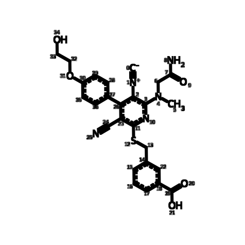 [C-]#[N+]c1c(N(C)CC(N)=O)nc(SCc2cccc(C(=O)O)c2)c(C#N)c1-c1ccc(OCCO)cc1